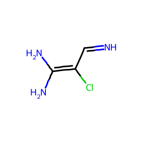 N=CC(Cl)=C(N)N